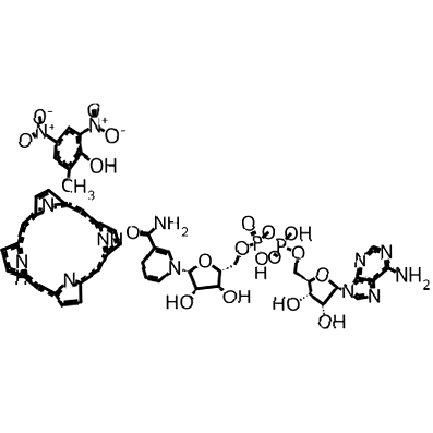 C1=Cc2cc3ccc(cc4nc(cc5ccc(cc1n2)[nH]5)C=C4)[nH]3.Cc1cc([N+](=O)[O-])cc([N+](=O)[O-])c1O.NC(=O)C1=CN([C@@H]2O[C@H](COP(=O)(O)OP(=O)(O)OC[C@H]3O[C@@H](n4cnc5c(N)ncnc54)[C@H](O)[C@@H]3O)[C@@H](O)[C@H]2O)C=CC1